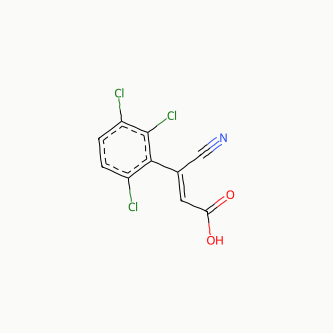 N#CC(=CC(=O)O)c1c(Cl)ccc(Cl)c1Cl